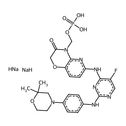 CC1(C)CN(c2ccc(Nc3ncc(F)c(Nc4ccc5c(n4)N(COP(=O)(O)O)C(=O)CO5)n3)cc2)CCO1.[NaH].[NaH]